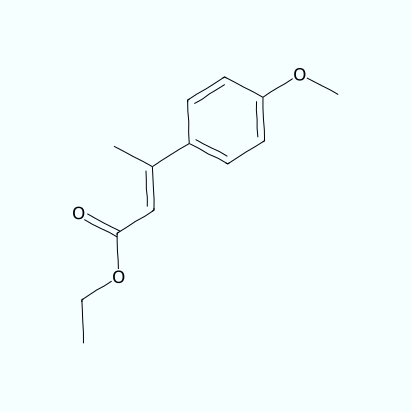 CCOC(=O)C=C(C)c1ccc(OC)cc1